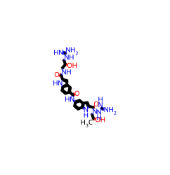 CC(O)CN(NC(=N)N)C(=O)c1cc2cc(NC(=O)c3ccc4[nH]c(C(=O)NCC(O)CNC(=N)N)cc4c3)ccc2[nH]1